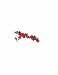 CCN(CC)c1ccc2c(-c3ccccc3C(=O)N3CCCC3C(=O)NC(CS(=O)(=O)O)C(=O)NCCCCCC(=O)NCCOc3cc([N+](=O)[O-])c(C(C)OC(=O)NCCOCCN4C(=O)C=CC4=O)cc3OC)c3ccc(N(CC)CC)cc3[o+]c2c1